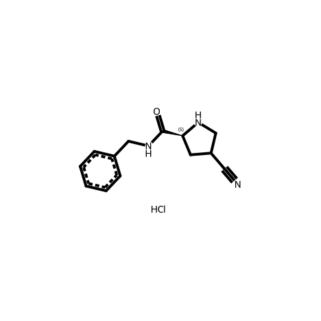 Cl.N#CC1CN[C@H](C(=O)NCc2ccccc2)C1